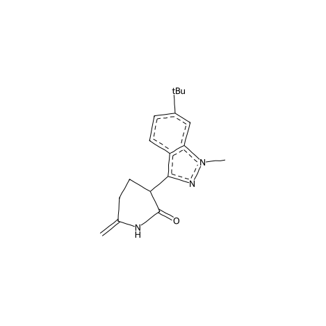 C=C1CCC(c2nn(C)c3cc(C(C)(C)C)ccc23)C(=O)N1